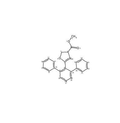 COC(=O)C1COC(c2c(-c3ccccc3)cnnc2-c2ccccc2)=N1